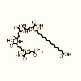 CC(=O)CC[C@H](NC(=O)CC[C@H](NC(=O)CC[C@H](NC(=O)CC[C@H](NC(=O)CCCCCCCCCCCCC(=O)O)C(=O)O)C(=O)O)C(=O)O)C(=O)O